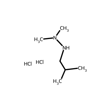 CC(C)CNN(C)C.Cl.Cl